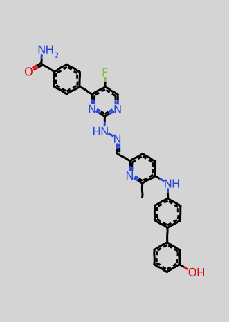 Cc1nc(/C=N/Nc2ncc(F)c(-c3ccc(C(N)=O)cc3)n2)ccc1Nc1ccc(-c2cccc(O)c2)cc1